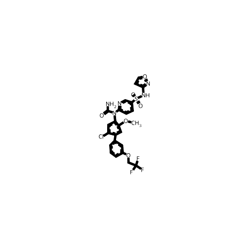 COc1cc(-c2cccc(OCC(F)(F)F)c2)c(Cl)cc1N(C(N)=O)c1ccc(S(=O)(=O)Nc2ccon2)cn1